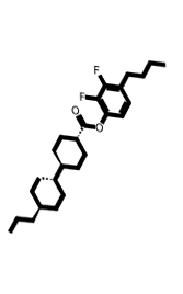 CCCCc1ccc(OC(=O)[C@H]2CC[C@H]([C@H]3CC[C@H](CCC)CC3)CC2)c(F)c1F